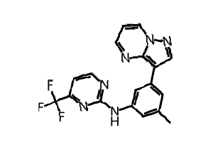 Cc1cc(Nc2nccc(C(F)(F)F)n2)cc(-c2cnn3cccnc23)c1